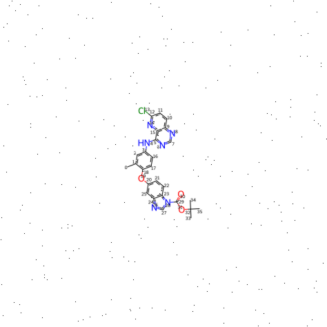 Cc1cc(Nc2ncnc3ccc(Cl)nc23)ccc1Oc1ccc2c(c1)ncn2C(=O)OC(C)(C)C